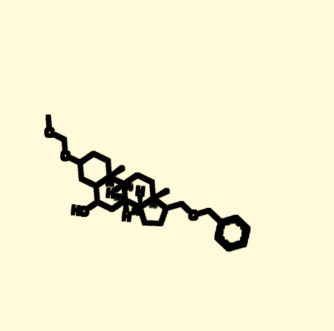 COCOC1CC[C@@]2(C)C(C1)C(O)C[C@@H]1[C@H]2CC[C@]2(C)C(COCc3ccccc3)CC[C@@H]12